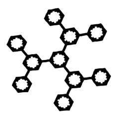 c1ccc(-c2cc(-c3ccccc3)cc(-c3cc(-c4cc(-c5ccccc5)cc(-c5ccccc5)c4)cc(-c4cc(-c5ccccc5)cc(-c5ccccc5)c4)c3)c2)cc1